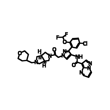 O=C(Nc1cn(CC(=O)N2C[C@H]3CN(CC4CCOCC4)C[C@H]3C2)nc1-c1cc(Cl)ccc1OC(F)F)c1cnn2cccnc12